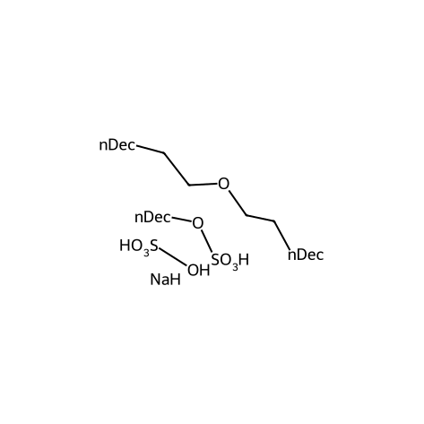 CCCCCCCCCCCCOCCCCCCCCCCCC.CCCCCCCCCCOS(=O)(=O)O.O=S(=O)(O)O.[NaH]